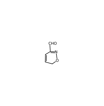 O=CC1=NOCC=C1